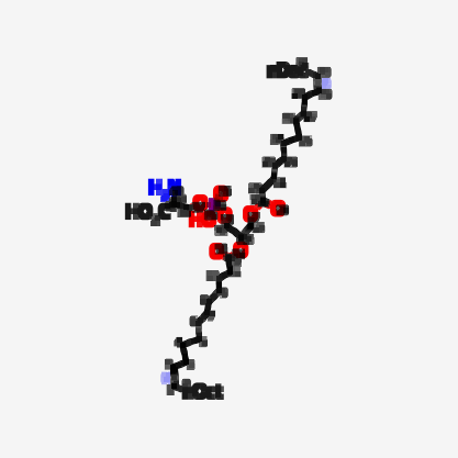 CCCCCCCC/C=C\CCCCCCCCCC(=O)O[C@H](COC(=O)CCCCCCCCC/C=C\CCCCCCCCCC)COP(=O)(O)OC[C@H](N)C(=O)O